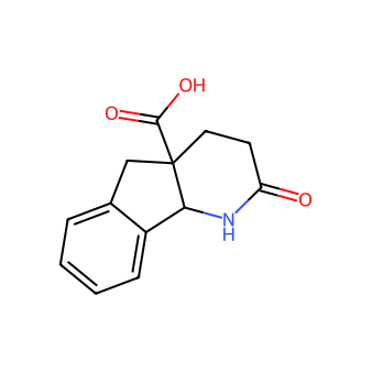 O=C1CCC2(C(=O)O)Cc3ccccc3C2N1